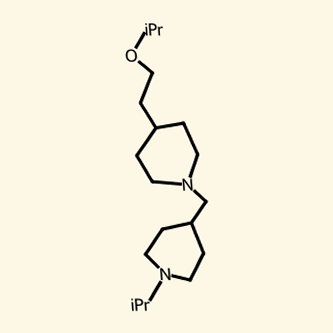 CC(C)OCCC1CCN(CC2CCN(C(C)C)CC2)CC1